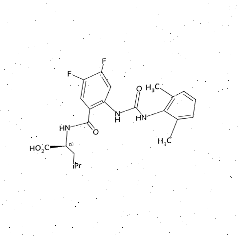 Cc1cccc(C)c1NC(=O)Nc1cc(F)c(F)cc1C(=O)N[C@@H](CC(C)C)C(=O)O